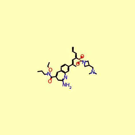 C=C/C=C(\C=C(/C)c1ccc2c(c1)N=C(N)CC(C(=O)N(CCC)OCC)=C2)S(=O)(=O)N1CC(CN(C)C)C1